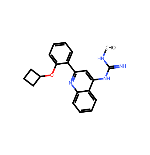 N=C(NC=O)Nc1cc(-c2ccccc2OC2CCC2)nc2ccccc12